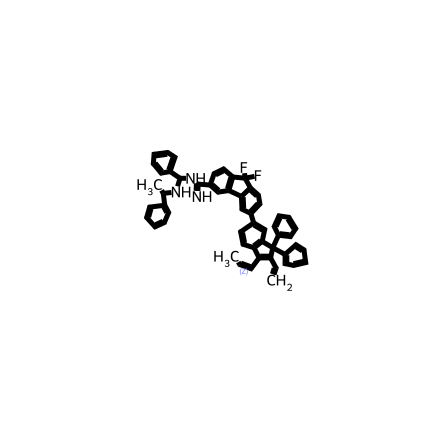 C=CC1=C(/C=C\C)c2ccc(-c3ccc4c(c3)-c3cc(C(=N)NC(NC(C)c5ccccc5)c5ccccc5)ccc3C4(F)F)cc2C1(c1ccccc1)c1ccccc1